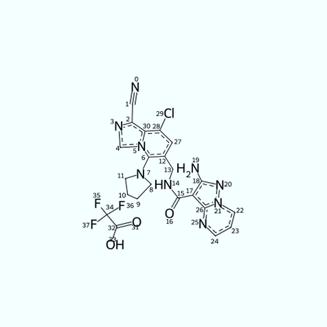 N#Cc1ncn2c(N3CCCC3)c(CNC(=O)c3c(N)nn4cccnc34)cc(Cl)c12.O=C(O)C(F)(F)F